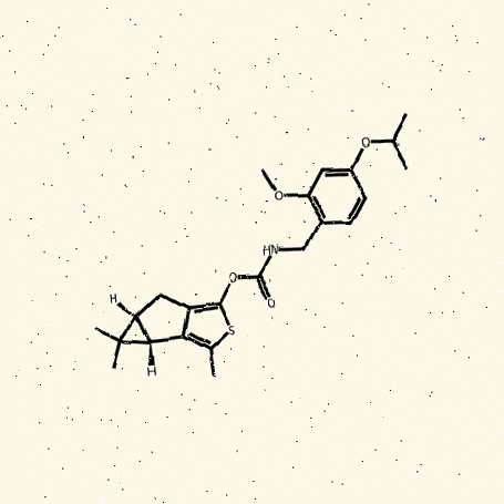 COc1cc(OC(C)C)ccc1CNC(=O)Oc1sc(C)c2c1C[C@@H]1[C@H]2C1(C)C